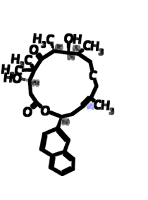 C/C1=C/C[C@@H](c2ccc3ccccc3c2)OC(=O)C[C@H](O)C(C)(C)C(=O)[C@H](C)[C@@H](O)[C@@H](C)CCC1